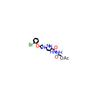 CC(=O)OCC(=O)NNC(=O)c1ccc(N2CC(Oc3ccccc3Br)C2)nn1